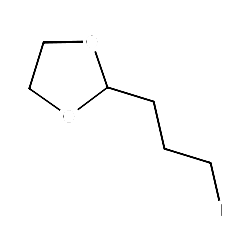 ICCCC1OCCO1